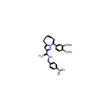 C=C(NCc1ccc(N(CC)CC)cc1)c1cc2n(n1)/C(c1ccc(OC)c(OC)c1)=C\C=C/CC2